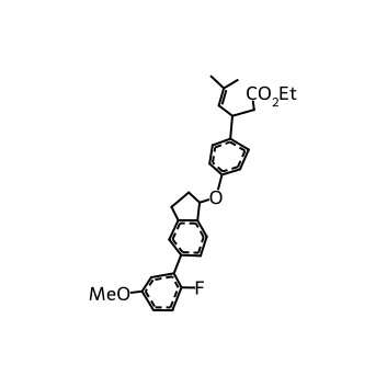 CCOC(=O)CC(C=C(C)C)c1ccc(OC2CCc3cc(-c4cc(OC)ccc4F)ccc32)cc1